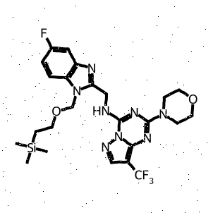 C[Si](C)(C)CCOCn1c(CNc2nc(N3CCOCC3)nc3c(C(F)(F)F)cnn23)nc2cc(F)ccc21